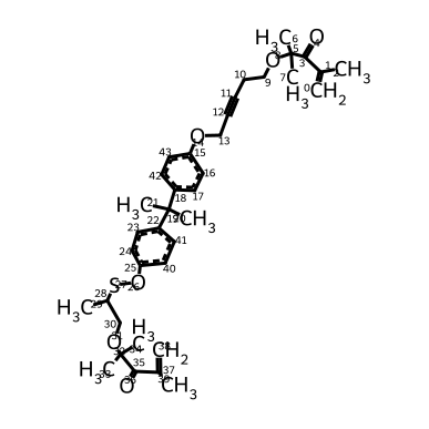 C=C(C)C(=O)C(C)(C)OCCC#CCOc1ccc(C(C)(C)c2ccc(OSC(C)COC(C)(C)C(=O)C(=C)C)cc2)cc1